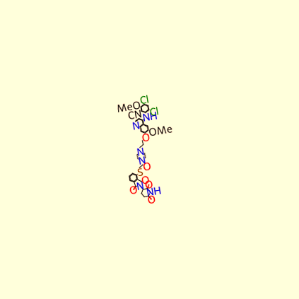 COc1cc(Nc2c(C#N)cnc3cc(OCCCN4CCN(C(=O)CSc5cccc6c5C(=O)N(C5CCC(=O)NC5=O)C6=O)CC4)c(OC)cc23)c(Cl)cc1Cl